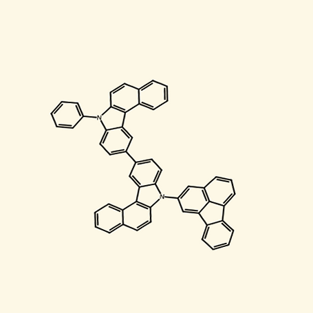 c1ccc(-n2c3ccc(-c4ccc5c(c4)c4c6ccccc6ccc4n5-c4cc5c6c(cccc6c4)-c4ccccc4-5)cc3c3c4ccccc4ccc32)cc1